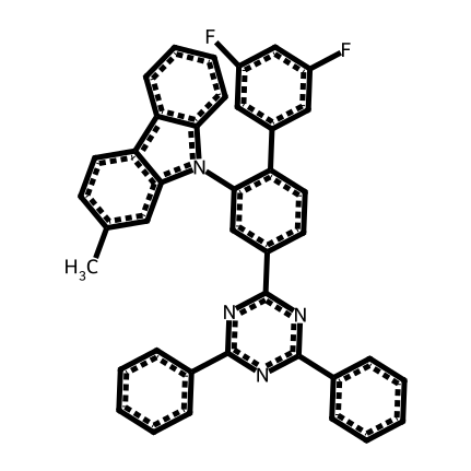 Cc1ccc2c3ccccc3n(-c3cc(-c4nc(-c5ccccc5)nc(-c5ccccc5)n4)ccc3-c3cc(F)cc(F)c3)c2c1